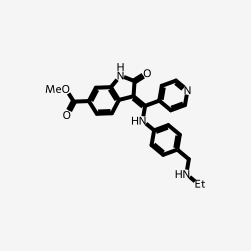 CCNCc1ccc(NC(=C2C(=O)Nc3cc(C(=O)OC)ccc32)c2ccncc2)cc1